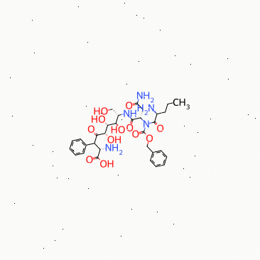 CCC[C@H](N)C(=O)N(C(=O)OCc1ccccc1)[C@@H](CC(N)=O)C(=O)N[C@@H](CO)[C@@H](O)[C@@H](O)[C@H](O)C(=O)C(c1ccccc1)[C@H](N)C(=O)O